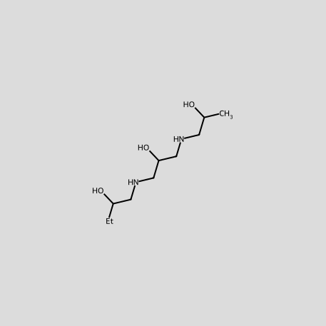 CCC(O)CNCC(O)CNCC(C)O